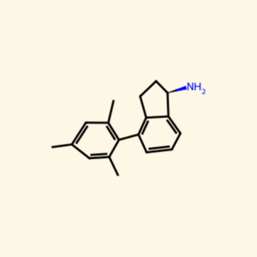 Cc1cc(C)c(-c2cccc3c2CC[C@H]3N)c(C)c1